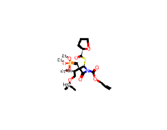 C=CCOC(=O)N1C(=O)[C@](C=P(OCC)(OCC)OCC)([C@H](CO[SiH](C)C)C(C)(C)C)[C@H]1SC(=O)[C@H]1CCCO1